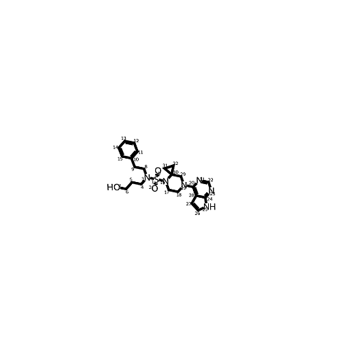 O=S(=O)(N(CCCO)CCc1ccccc1)N1CCN(c2ncnc3[nH]ccc23)CC12CC2